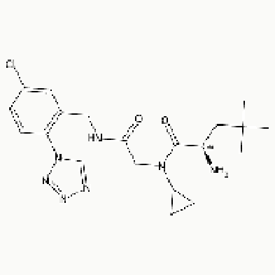 CC(C)(C)C[C@@H](N)C(=O)N(CC(=O)NCc1cc(Cl)ccc1-n1cnnn1)C1CC1